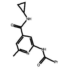 Cc1cc(C(=O)NC2CC2)cc(NC(=O)C(C)C)n1